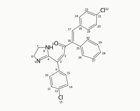 O=C(C=C(C1=NCCN1)c1ccc(Cl)cc1)C(=Cc1ccc(Cl)cc1)c1ccccc1